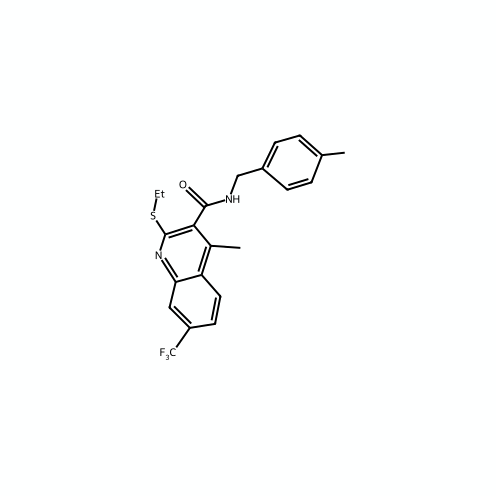 CCSc1nc2cc(C(F)(F)F)ccc2c(C)c1C(=O)NCc1ccc(C)cc1